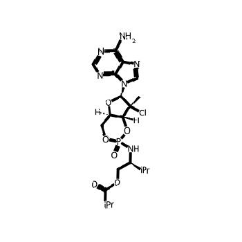 CC(C)C(=O)OC[C@@H](NP1(=O)OC[C@H]2O[C@@H](n3cnc4c(N)ncnc43)[C@](C)(Cl)[C@@H]2O1)C(C)C